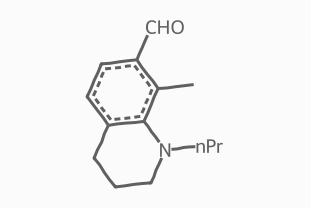 CCCN1CCCc2ccc(C=O)c(C)c21